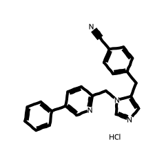 Cl.N#Cc1ccc(Cc2cncn2Cc2ccc(-c3ccccc3)cn2)cc1